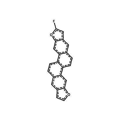 Fc1cc2cc3ccc4c5cc6occc6cc5ccc4c3cc2o1